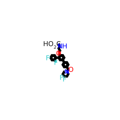 O=C(O)NCCOc1ccc(-c2ccc(C(=O)N3CCC(F)(F)CC3)cc2)cc1-c1ccc(F)cc1F